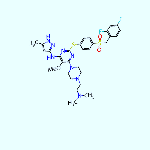 COc1c(Nc2cc(C)[nH]n2)nc(Sc2ccc(S(=O)(=O)Cc3ccc(F)cc3F)cc2)nc1N1CCN(CCN(C)C)CC1